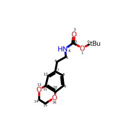 CC(C)(C)OC(=O)NCCc1ccc2c(c1)OCCO2